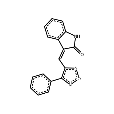 O=C1Nc2ccccc2C1=Cc1nonc1-c1ccccc1